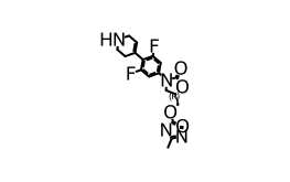 Cc1noc(OC[C@H]2CN(c3cc(F)c(C4=CCNCC4)c(F)c3)C(=O)O2)n1